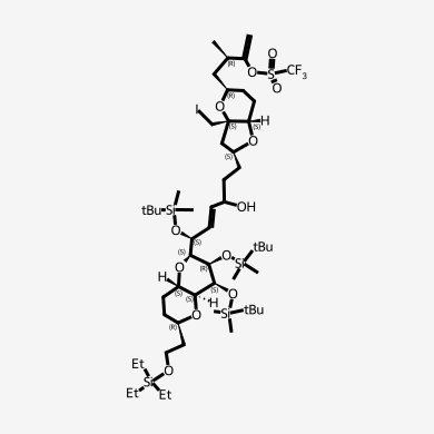 C=C(OS(=O)(=O)C(F)(F)F)[C@H](C)C[C@H]1CC[C@@H]2O[C@@H](CCC(O)C=C[C@H](O[Si](C)(C)C(C)(C)C)[C@@H]3O[C@H]4CC[C@H](CCO[Si](CC)(CC)CC)O[C@@H]4[C@H](O[Si](C)(C)C(C)(C)C)[C@@H]3O[Si](C)(C)C(C)(C)C)C[C@]2(CI)O1